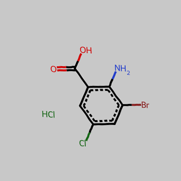 Cl.Nc1c(Br)cc(Cl)cc1C(=O)O